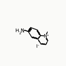 C[n+]1cccc2cc(N)ccc21.[I-]